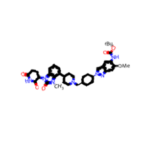 COc1cc2nn([C@H]3CC[C@H](CN4CCC(c5cccc6c5n(C)c(=O)n6C5CCC(=O)NC5=O)CC4)CC3)cc2cc1NC(=O)OC(C)(C)C